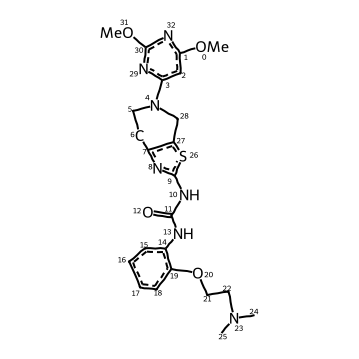 COc1cc(N2CCc3nc(NC(=O)Nc4ccccc4OCCN(C)C)sc3C2)nc(OC)n1